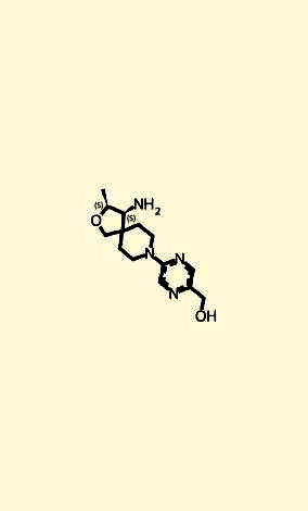 C[C@@H]1OCC2(CCN(c3cnc(CO)cn3)CC2)[C@@H]1N